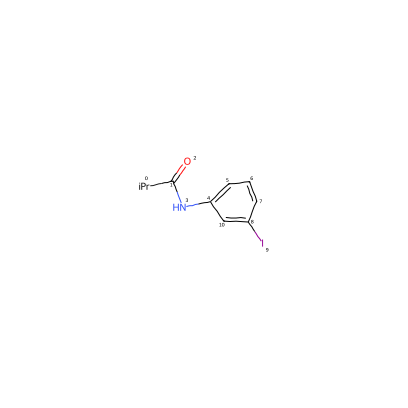 CC(C)C(=O)Nc1cccc(I)c1